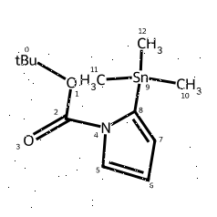 CC(C)(C)OC(=O)n1ccc[c]1[Sn]([CH3])([CH3])[CH3]